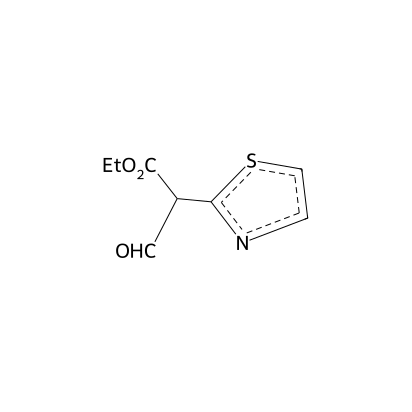 CCOC(=O)C(C=O)c1nccs1